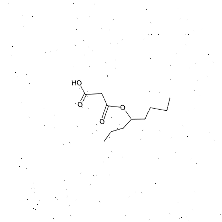 CCCCC(CCC)OC(=O)CC(=O)O